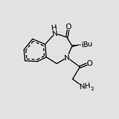 CC[C@H](C)C1C(=O)Nc2ccccc2CN1C(=O)CN